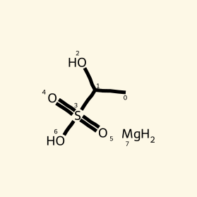 CC(O)S(=O)(=O)O.[MgH2]